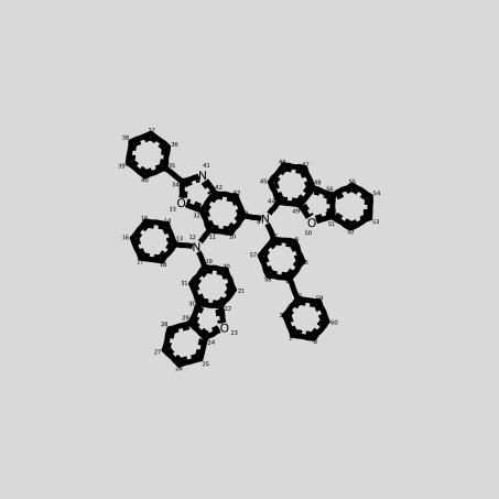 c1ccc(-c2ccc(N(c3cc(N(c4ccccc4)c4ccc5oc6ccccc6c5c4)c4oc(-c5ccccc5)nc4c3)c3cccc4c3oc3ccccc34)cc2)cc1